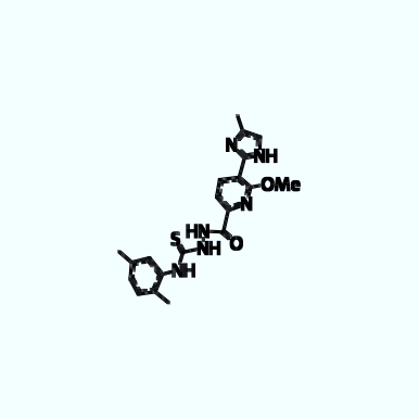 COc1nc(C(=O)NNC(=S)Nc2cc(C)ccc2C)ccc1-c1nc(C)c[nH]1